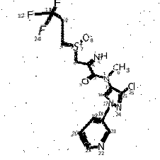 CN(C(=O)C(=N)C[S+]([O-])CCC(F)(F)F)c1cn(-c2cccnc2)nc1Cl